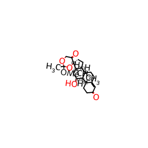 COC1(C)OCC(=O)[C@]2(CC[C@H]3[C@@H]4CCC5=CC(=O)CC[C@]5(C)[C@H]4[C@@H](O)C[C@@]32C)O1